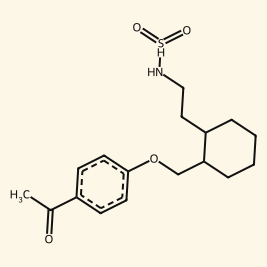 CC(=O)c1ccc(OCC2CCCCC2CCN[SH](=O)=O)cc1